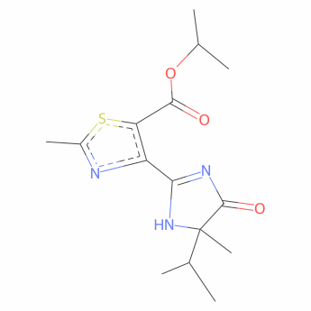 Cc1nc(C2=NC(=O)C(C)(C(C)C)N2)c(C(=O)OC(C)C)s1